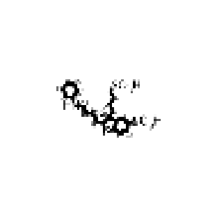 CC1(CCCCS(=O)(=O)O)C(C=CC=CNc2ccccc2)=Nc2ccc(S(=O)(=O)O)cc21